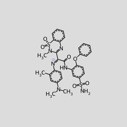 Cc1cc(N(C)C)ccc1/N=C(\C(=O)Nc1cc(S(N)(=O)=O)ccc1Oc1ccccc1)C1=Nc2ccccc2S(=O)(=O)N1C